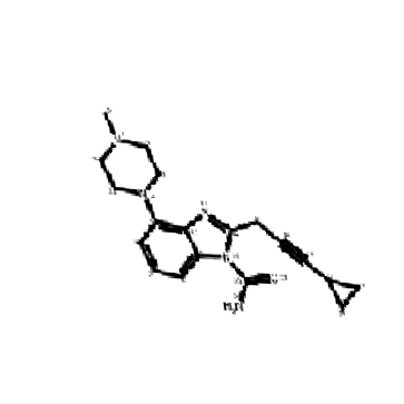 CN1CCN(c2cccc3c2nc(CC#CC2CC2)n3C(N)=O)CC1